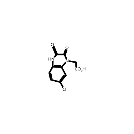 O=C(O)Cn1c(=O)c(=O)[nH]c2ccc(Cl)cc21